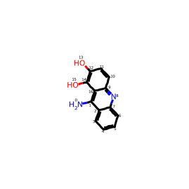 Nc1c2ccccc2nc2ccc(O)c(O)c12